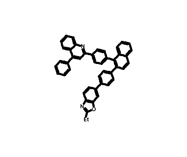 CCc1nc2ccc(-c3ccc(-c4ccc5ccccc5c4-c4ccc(-c5cc(-c6ccccc6)c6ccccc6n5)cc4)cc3)cc2o1